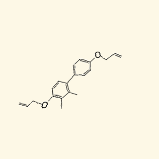 C=CCOc1ccc(-c2ccc(OCC=C)c(C)c2C)cc1